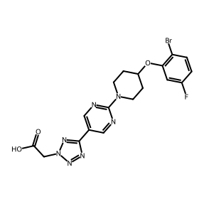 O=C(O)Cn1nnc(-c2cnc(N3CCC(Oc4cc(F)ccc4Br)CC3)nc2)n1